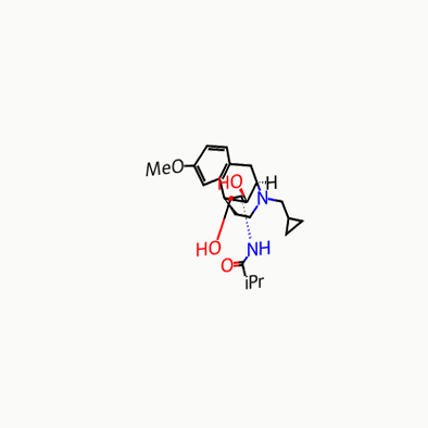 COc1ccc2c(c1)[C@]13CCN(CC4CC4)[C@H](C2)[C@]1(O)C[C@H](NC(=O)C(C)C)C(O)C3